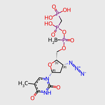 BP(=O)(OC[C@H]1O[C@@H](n2cc(C)c(=O)[nH]c2=O)C[C@H]1N=[N+]=[N-])OP(=O)(O)CP(=O)(O)O